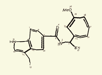 CCC(NC(=O)c1ccc2[nH]cc(I)c2c1)c1cccc(OC)c1